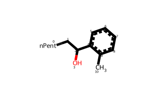 CCCCCCC(O)c1ccccc1C